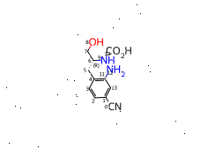 N#Cc1ccc(C[C@H](CO)NC(=O)O)c(N)c1